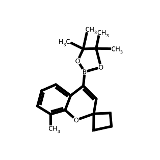 Cc1cccc2c1OC1(C=C2B2OC(C)(C)C(C)(C)O2)CCC1